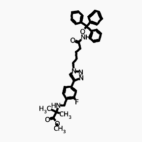 COC(=O)C(C)(C)NCc1ccc(-c2cn(CCCCC(=O)NOC(c3ccccc3)(c3ccccc3)c3ccccc3)nn2)cc1F